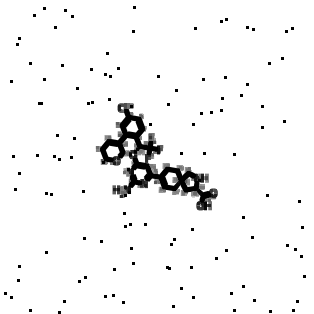 Nc1nc(O[C@H](c2ccc(Cl)cc2C2=CCCOC2)C(F)(F)F)cc(C2=CC[C@@]3(CC2)CN[C@@H](C(=O)O)C3)n1